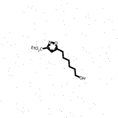 CCOC(=O)c1cc(CCCCCCO)on1